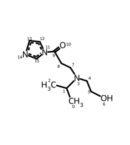 CC(C)N(CCO)CCC(=O)n1ccnc1